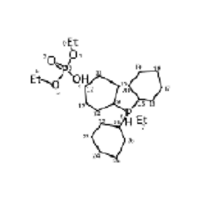 CCOP(=O)(O)OCC.CC[PH](C1CCCCC1)(C1CCCCC1)C1CCCCC1